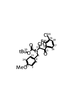 COc1ccc(CN(C(=O)OC(C)(C)C)C(C)C(=O)c2cccc(Cl)c2F)cc1